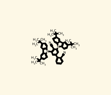 CC(C)(C)c1ccc2c(c1)c1cc(C(C)(C)C)ccc1n2-c1cc(-c2ccccc2C#N)cc(-n2c3ccc(C(C)(C)C)cc3c3cc(C(C)(C)C)ccc32)c1C#N